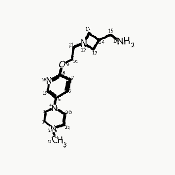 CN1CCN(c2ccc(OCCN3CC(CN)C3)nc2)CC1